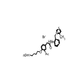 CCCCCCCCCCCCCCOc1ccc(CC(=O)Nc2ccccc2C[n+]2cscc2C)cc1C(C)=O.[Br-]